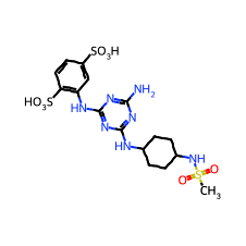 CS(=O)(=O)NC1CCC(Nc2nc(N)nc(Nc3cc(S(=O)(=O)O)ccc3S(=O)(=O)O)n2)CC1